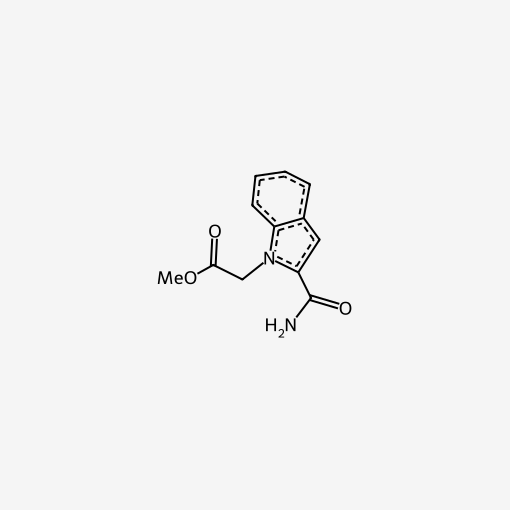 COC(=O)Cn1c(C(N)=O)cc2ccccc21